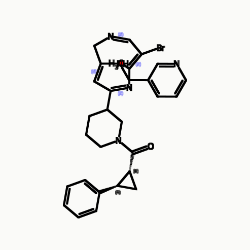 CC1=C(Br)\C=N/C/C(NCc2cccnc2)=C/C(C2CCCN(C(=O)[C@@H]3C[C@H]3c3ccccc3)C2)=N\1